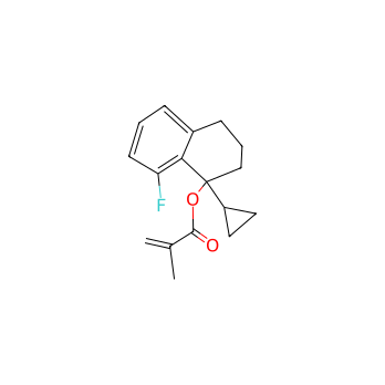 C=C(C)C(=O)OC1(C2CC2)CCCc2cccc(F)c21